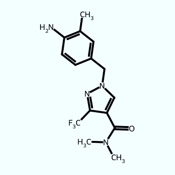 Cc1cc(Cn2cc(C(=O)N(C)C)c(C(F)(F)F)n2)ccc1N